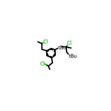 CC(C)(C)CC(C)(C)Cl.CC(Cl)Cc1cc(CC(C)Cl)cc(C(C)(C)C)c1